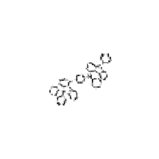 C1=CC(C2(c3ccccc3)c3ccccc3-c3c(-c4ccc(N(c5ccccc5)c5cccc6c5c5ccccc5n6-c5ccccc5)cc4)cccc32)=CCC1